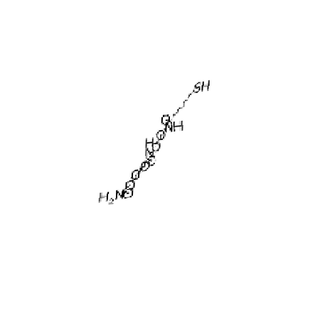 NC(=O)COCCOCCOCC(=O)NCCOCCOCCNC(=O)CCCCCCCCCCS